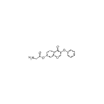 NCC(=O)Oc1ccc2c(=O)c(Oc3ccccc3)coc2c1